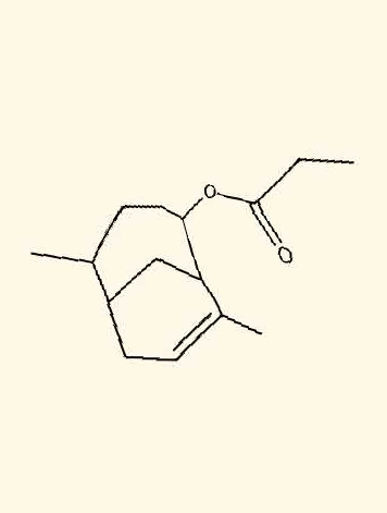 CCC(=O)OC1CC(C)C2CC=C(C)C1C2